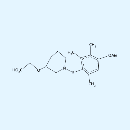 COc1cc(C)c(SN2CCCC(OCC(=O)O)C2)c(C)c1C